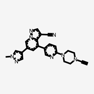 C#CN1CCN(c2ccc(-c3cc(-c4cnn(C)c4)cn4ncc(C#N)c34)cn2)CC1